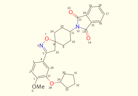 COc1ccc(C2=NOC3(CCC(N4C(=O)c5ccccc5C4=O)CC3)C2)cc1OC1CCCC1